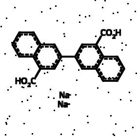 O=C(O)c1cc(-c2cc(C(=O)O)c3ccccc3c2)cc2ccccc12.[Na].[Na]